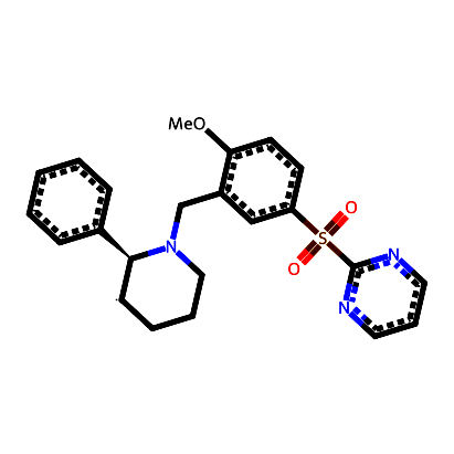 COc1ccc(S(=O)(=O)c2ncccn2)cc1CN1CCC[CH][C@H]1c1ccccc1